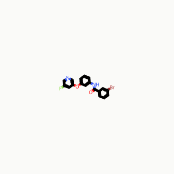 O=C(Nc1cccc(Oc2cncc(F)c2)c1)c1cccc(Br)c1